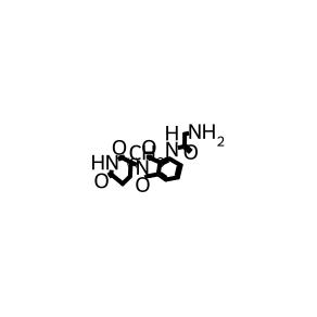 C[C@]1(N2C(=O)c3cccc(NC(=O)CN)c3C2=O)CCC(=O)NC1=O